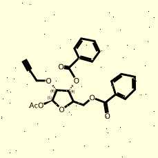 C#CCO[C@H]1[C@H](OC(C)=O)OC(COC(=O)c2ccccc2)[C@H]1OC(=O)c1ccccc1